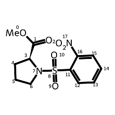 COC(=O)[C@@H]1CCCN1S(=O)(=O)c1ccccc1[N+](=O)[O-]